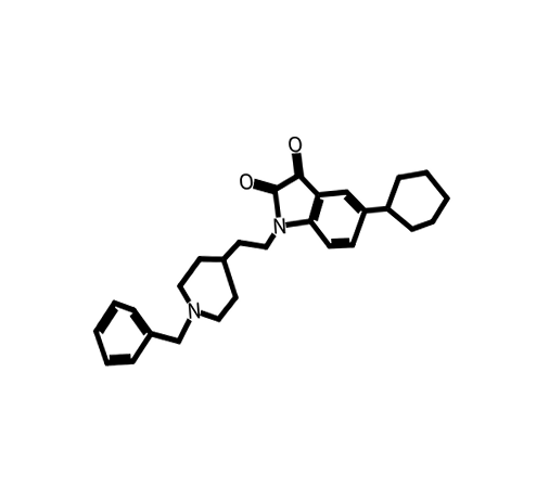 O=C1C(=O)N(CCC2CCN(Cc3ccccc3)CC2)c2ccc(C3CCCCC3)cc21